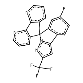 Fc1ccc2c(c1)C1(c3cccnc3-c3ncccc31)n1nc(C(F)(F)F)cc1-2